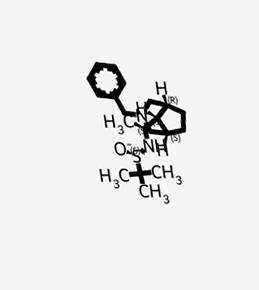 C[C@H](N[S@+]([O-])C(C)(C)C)[C@H]1[C@@H]2CC[C@H]1CN(Cc1ccccc1)C2